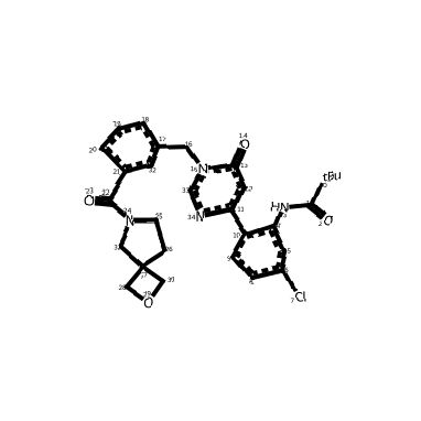 CC(C)(C)C(=O)Nc1cc(Cl)ccc1-c1cc(=O)n(Cc2cccc(C(=O)N3CCC4(COC4)C3)c2)cn1